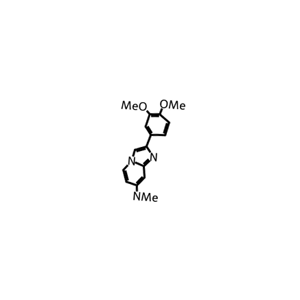 CNc1ccn2cc(-c3ccc(OC)c(OC)c3)nc2c1